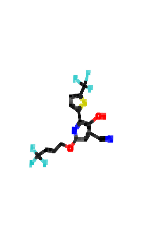 N#Cc1cc(OCC=CC(F)(F)F)nc(-c2ccc(C(F)(F)F)s2)c1O